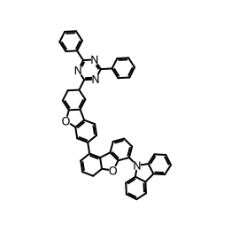 C1=CC(c2ccc3c4c(oc3c2)=CCC(c2nc(-c3ccccc3)nc(-c3ccccc3)n2)C=4)=C2c3cccc(-n4c5ccccc5c5ccccc54)c3OC2C1